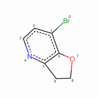 Brc1ccnc2c1OCC2